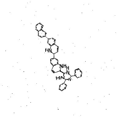 C1=CC(c2ccc3c(c2)NC(C2NC(c4ccccc4)=NC(c4ccccc4)N2)C=C3)Nc2cc(-c3ccc4ccccc4c3)ccc21